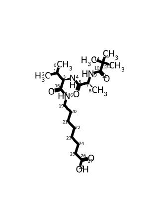 CC(C)[C@@H](NC(=O)[C@@H](C)NC(=O)C(C)(C)C)C(=O)NCCCCCCCC(=O)O